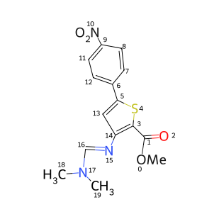 COC(=O)c1sc(-c2ccc([N+](=O)[O-])cc2)cc1N=CN(C)C